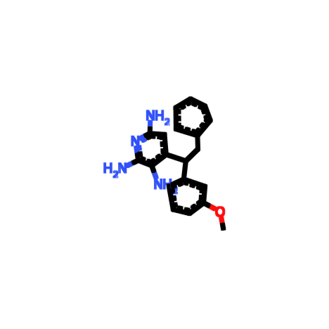 COc1cccc(C(Cc2ccccc2)c2cc(N)nc(N)c2N)c1